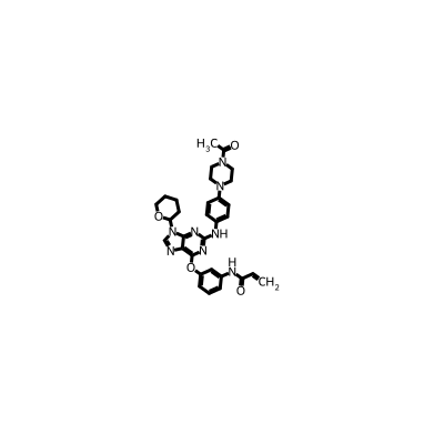 C=CC(=O)Nc1cccc(Oc2nc(Nc3ccc(N4CCN(C(C)=O)CC4)cc3)nc3c2ncn3C2CCCCO2)c1